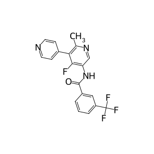 Cc1ncc(NC(=O)c2cccc(C(F)(F)F)c2)c(F)c1-c1ccncc1